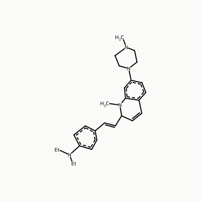 CCN(CC)c1ccc(C=CC2C=Cc3ccc(N4CCN(C)CC4)cc3N2C)cc1